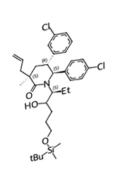 C=CC[C@@]1(C)C[C@H](c2cccc(Cl)c2)[C@@H](c2ccc(Cl)cc2)N([C@@H](CC)C(O)CCCO[Si](C)(C)C(C)(C)C)C1=O